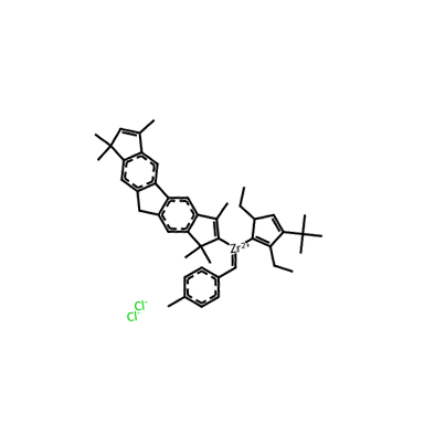 CCC1=[C]([Zr+2](=[CH]c2ccc(C)cc2)[C]2=C(C)c3cc4c(cc3C2(C)C)Cc2cc3c(cc2-4)C(C)=CC3(C)C)C(CC)C=C1C(C)(C)C.[Cl-].[Cl-]